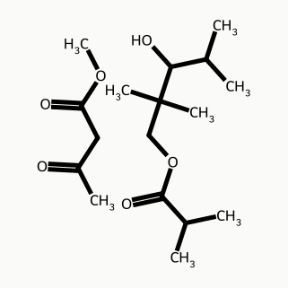 CC(C)C(=O)OCC(C)(C)C(O)C(C)C.COC(=O)CC(C)=O